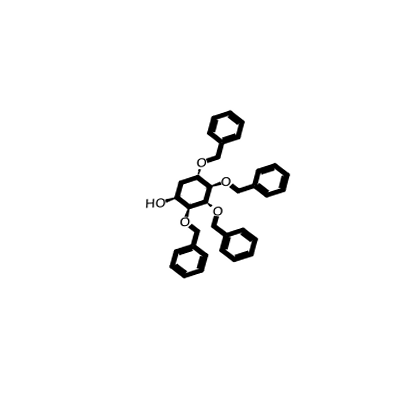 O[C@H]1C[C@H](OCc2ccccc2)[C@@H](OCc2ccccc2)[C@H](OCc2ccccc2)[C@H]1OCc1ccccc1